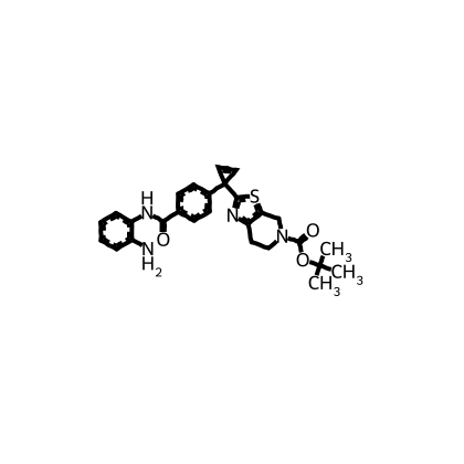 CC(C)(C)OC(=O)N1CCc2nc(C3(c4ccc(C(=O)Nc5ccccc5N)cc4)C=C3)sc2C1